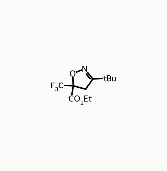 CCOC(=O)C1(C(F)(F)F)CC(C(C)(C)C)=NO1